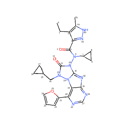 CCc1c(C(=O)N(C2CC2)n2c(=O)n(CC3CC3)n3c4c(-c5ccco5)ncnc4nc23)n[nH]c1C